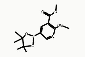 CNc1ncc(B2OC(C)(C)C(C)(C)O2)cc1C(=O)OC